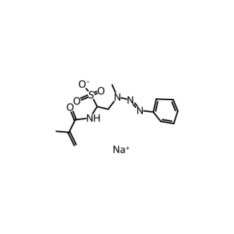 C=C(C)C(=O)NC(CN(C)N=Nc1ccccc1)S(=O)(=O)[O-].[Na+]